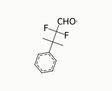 CC(C)(c1ccccc1)C(F)(F)[C]=O